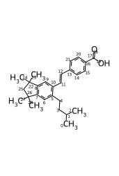 CC(C)CCc1cc2c(cc1C=Cc1ccc(C(=O)O)cc1)C(C)(C)CC2(C)C